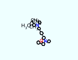 CC1(C)CCC(C)(C)c2cc(N(c3ccccc3)c3ccc(-c4ccc(-c5ccc(N(c6ccccc6)c6cccc7c6oc6ccccc67)cc5)cc4)cc3)ccc21